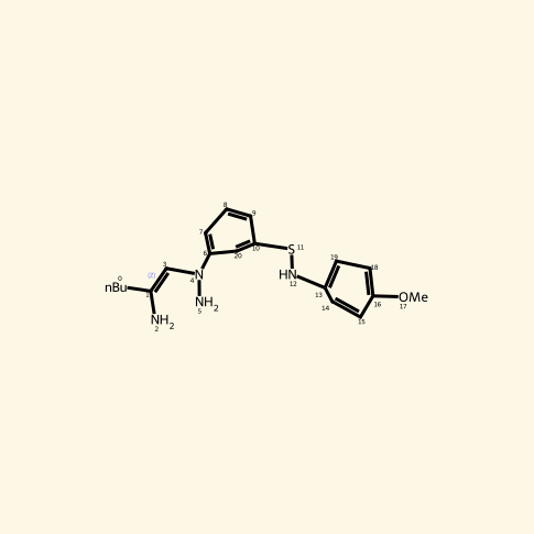 CCCC/C(N)=C/N(N)c1cccc(SNc2ccc(OC)cc2)c1